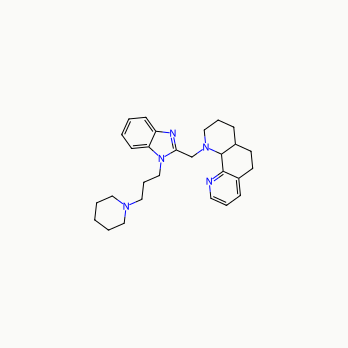 c1cnc2c(c1)CCC1CCCN(Cc3nc4ccccc4n3CCCN3CCCCC3)C21